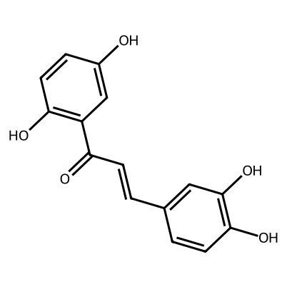 O=C(C=Cc1ccc(O)c(O)c1)c1cc(O)ccc1O